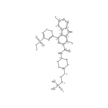 CCS(=O)(=O)C1=CCCC(c2cc(C(=O)NC3CCN(CCOP(=O)(O)O)CC3)c(C)c3[nH]c4ncc(C)cc4c23)=C1